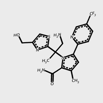 Cc1cc(-c2ccc(C(F)(F)F)cn2)n(C(C)(CN)c2nc(CO)cs2)c1C(N)=O